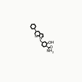 NC(=O)c1ccc(Cn2ccc3cc(-c4ccccc4)cnc32)cc1O